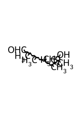 CC1=C(/C=C/C(C)=C\C=C\C(C)=C\C=C\C=C(C)\C=C\C=C(C)\C=C\C=O)C(C)CC(O)C1